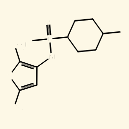 CC1CCC(P(C)(=O)Nc2cc(C(C)(C)C)sc2C(=O)O)CC1